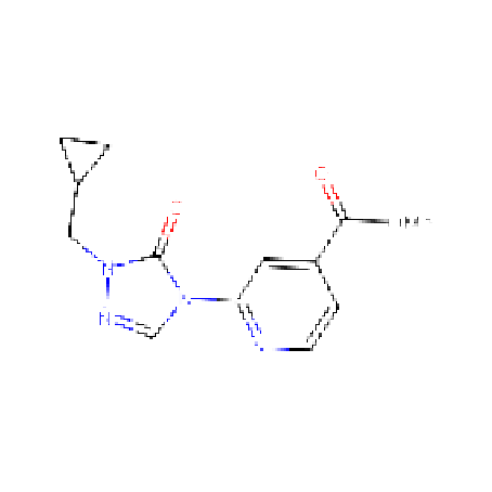 COC(=O)c1ccnc(-n2cnn(CC3CC3)c2=O)c1